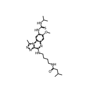 COc1cc2nc(NCCCCNC(=O)CC(C)C)c3nnc(C)n3c2cc1NC(=S)NC(C)C